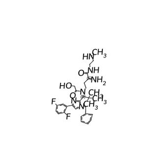 CNCCNC(=O)[C@@H](N)CCN(C(=O)CO)[C@@H](c1nc(-c2cc(F)ccc2F)cn1Cc1ccccc1)C(C)(C)C